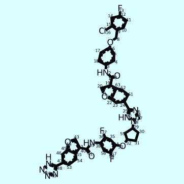 O=C(Nc1ccc(OCc2ccc(F)cc2Cl)cc1)c1coc2cc(-c3nn[n+](C4CCC(Oc5cc(F)c(NC(=O)c6coc7cc(-c8nnn[nH]8)ccc67)cc5F)C4)[nH]3)ccc12